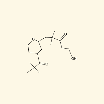 CC(C)(C)C(=O)C1CCOC(CC(C)(C)C(=O)CCO)C1